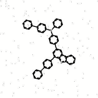 c1ccc(-c2ccc(-c3cc(-c4ccc(N(c5ccccc5)c5ccc(-c6ccccc6)cc5)cc4)cc4c3sc3ccccc34)cc2)cc1